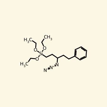 CCO[Si](CCC(CCc1ccccc1)N=[N+]=[N-])(OCC)OCC